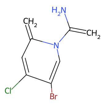 C=C(N)N1C=C(Br)C(Cl)=CC1=C